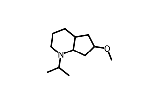 COC1CC2CCCN(C(C)C)C2C1